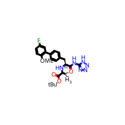 COc1ccc(F)cc1-c1ccc(C[C@H](NC(C)C(=O)OC(C)(C)C)C(=O)Nc2nnn[nH]2)cc1